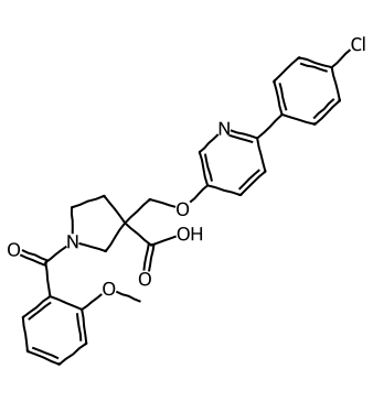 COc1ccccc1C(=O)N1CCC(COc2ccc(-c3ccc(Cl)cc3)nc2)(C(=O)O)C1